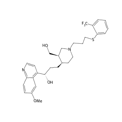 COc1ccc2nccc([C@@H](O)CC[C@@H]3CCN(CCCSc4ccccc4C(F)(F)F)C[C@@H]3CO)c2c1